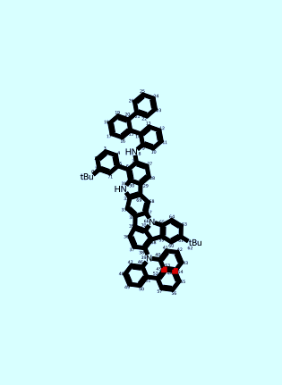 CC(C)(C)c1cccc(-c2c(Nc3ccccc3-c3ccccc3-c3ccccc3)ccc3c2[nH]c2cc4c5ccc(N(c6ccccc6)c6ccccc6-c6ccccc6)c6c7cc(C(C)(C)C)ccc7n(c4cc23)c56)c1